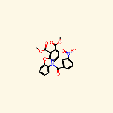 COC(=O)c1cccc(Oc2ccccc2NC(=O)c2cccc([N+](=O)[O-])c2)c1C(=O)OC